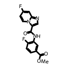 COC(=O)c1ccc(F)c(NC(=O)c2cnc3cc(F)ccn23)c1